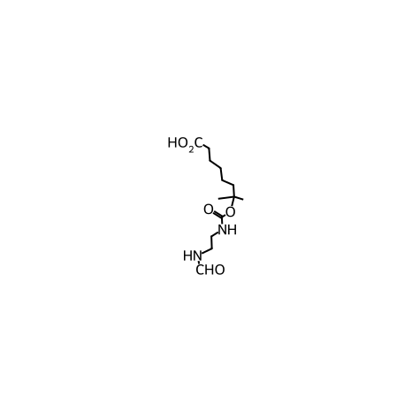 CC(C)(CCCCCC(=O)O)OC(=O)NCCNC=O